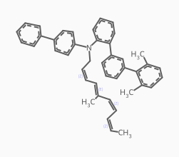 C\C=C/C=C\C(C)=C\C=C/CN(c1ccc(-c2ccccc2)cc1)c1ccccc1-c1cccc(-c2c(C)cccc2C)c1